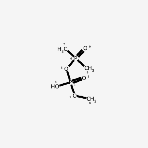 COP(=O)(O)OP(C)(C)=O